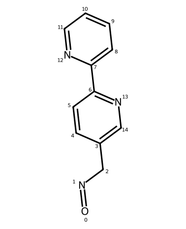 O=NCc1ccc(-c2ccccn2)nc1